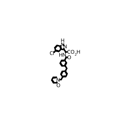 O=C(NC(C(=O)O)c1n[nH]c2ccc(Cl)cc12)c1cccc(Cc2ccc(Cn3ccccc3=O)cc2)c1